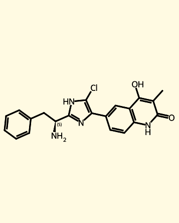 Cc1c(O)c2cc(-c3nc([C@@H](N)Cc4ccccc4)[nH]c3Cl)ccc2[nH]c1=O